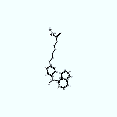 C=C(CCCCCCc1ccc(N(C)c2ncnc3ccccc23)cc1)NO